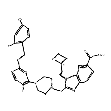 O=C(O)c1ccc2nc(CN3CCN(c4nc(OCc5ccc(Cl)cc5F)ncc4F)CC3)n(C[C@@H]3CCO3)c2c1